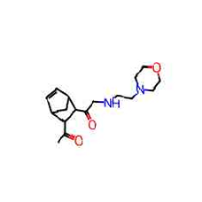 CC(=O)C1C2C=CC(C2)C1C(=O)CNCCN1CCOCC1